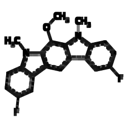 COc1c2c(cc3c4cc(F)ccc4n(C)c13)c1cc(F)ccc1n2C